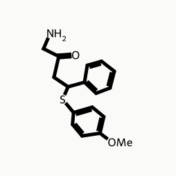 COc1ccc(SC(CC(=O)CN)c2ccccc2)cc1